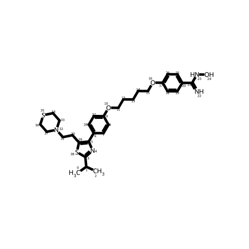 CC(C)c1nc(-c2ccc(OCCCCCOc3ccc(C(=N)NO)cc3)cc2)c(CCN2CCSCC2)s1